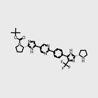 CC(C)(C)OC(=O)N1CCC[C@H]1c1ncc(-c2cnc(-c3ccc(-c4[nH]c([C@@H]5CCCN5)nc4C(F)(F)F)cc3)nc2)[nH]1